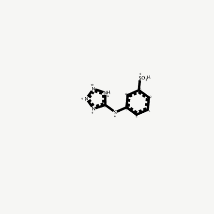 O=S(=O)(O)c1cccc(Sc2nnn[nH]2)c1